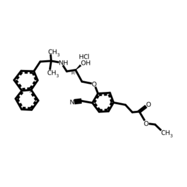 CCOC(=O)CCc1ccc(C#N)c(OC[C@H](O)CNC(C)(C)Cc2ccc3ccccc3c2)c1.Cl